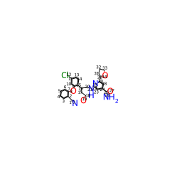 N#Cc1ccccc1Oc1cc(Cl)ccc1C(CC=O)CNc1cc(C(N)=O)cc(C2CCCO2)n1